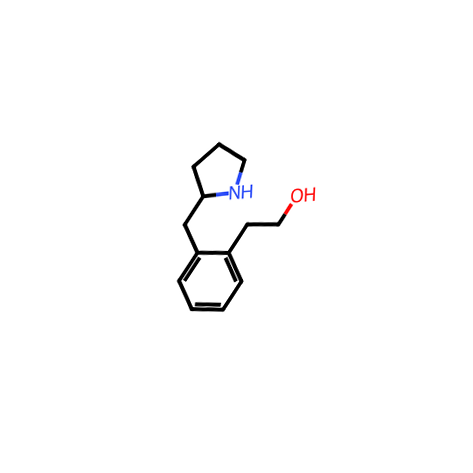 OCCc1ccccc1CC1CCCN1